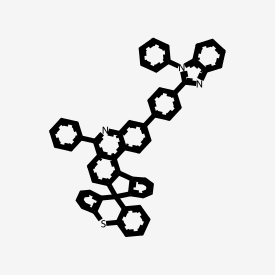 c1ccc(-c2nc3cc(-c4ccc(-c5nc6ccccc6n5-c5ccccc5)cc4)ccc3c3c4c(ccc23)C2(c3ccccc3Sc3ccccc32)c2ccccc2-4)cc1